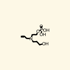 C=CCN(CCCO)CCOP(=O)(O)O